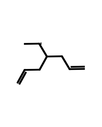 C=CCC([C]C)CC=C